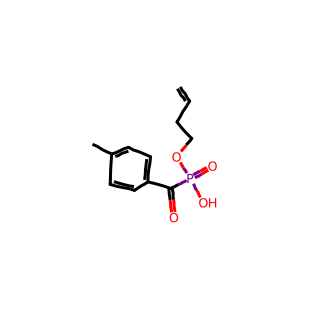 C=CCCOP(=O)(O)C(=O)c1ccc(C)cc1